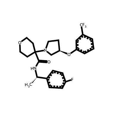 C[C@H](NC(=O)C1(N2CC[C@@H](Oc3cccc(C(F)(F)F)c3)C2)CCOCC1)c1ccc(F)cc1